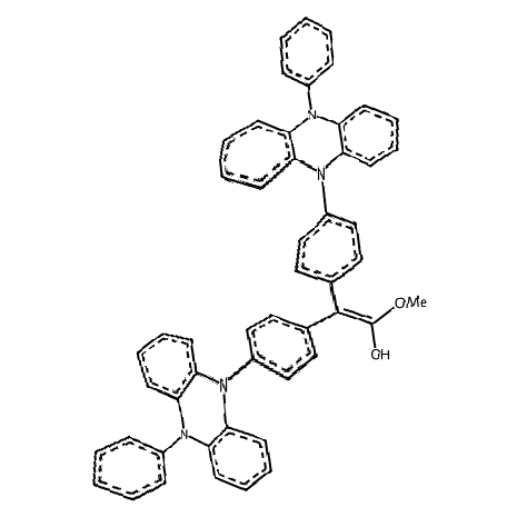 COC(O)=C(c1ccc(N2c3ccccc3N(c3ccccc3)c3ccccc32)cc1)c1ccc(N2c3ccccc3N(c3ccccc3)c3ccccc32)cc1